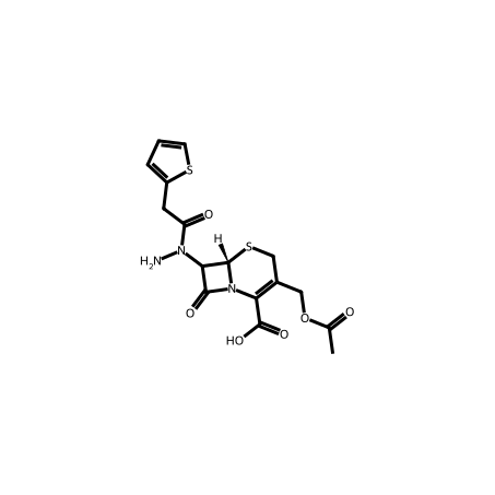 CC(=O)OCC1=C(C(=O)O)N2C(=O)C(N(N)C(=O)Cc3cccs3)[C@@H]2SC1